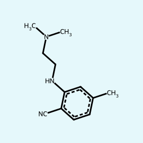 Cc1ccc(C#N)c(NCCN(C)C)c1